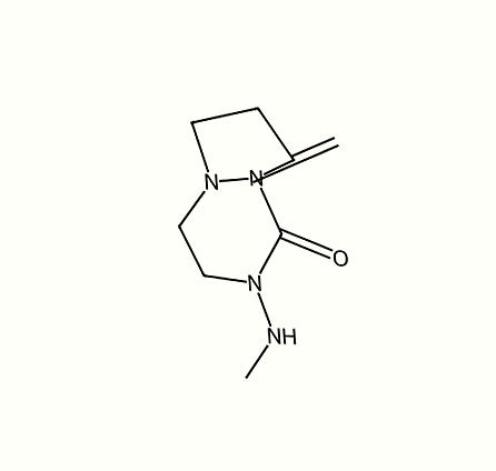 C=C1CCN2CCN(NC)C(=O)N12